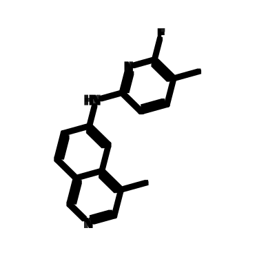 Cc1ccc(Nc2ccc3cncc(C)c3c2)nc1F